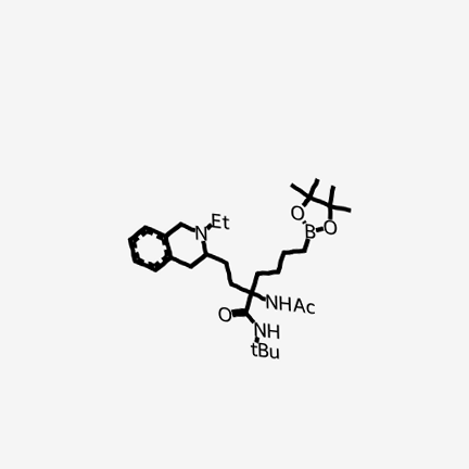 CCN1Cc2ccccc2CC1CCC(CCCCB1OC(C)(C)C(C)(C)O1)(NC(C)=O)C(=O)NC(C)(C)C